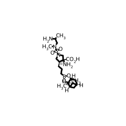 CC(N)CN(C)S(=O)(=O)N1C[C@H](CCCB2O[C@H]3C[C@H]4C[C@H](C4(C)C)[C@@]3(C)O2)[C@](N)(C(=O)O)C1